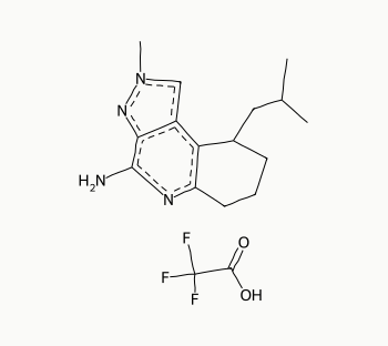 CC(C)CC1CCCc2nc(N)c3nn(C)cc3c21.O=C(O)C(F)(F)F